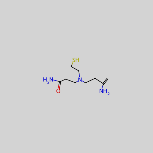 C=C(N)CCN(CCS)CCC(N)=O